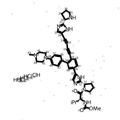 COC(=O)N[C@H](C(=O)N1CCC[C@H]1c1ncc(-c2ccc(C#CC#Cc3cnc([C@@H]4CCCN4)[nH]3)c(-c3ccc(N4CCN(C)CC4)cc3)c2)[nH]1)C(C)C.Cl.Cl.Cl.Cl.Cl